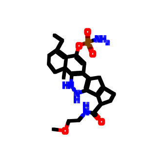 CCC1=C2C(OS(N)(=O)=O)=CC3=C(NNC4=C3CC3=C4C(C(=O)NCCOC)CC3)C2(C)CCC1